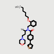 [2H]C(CCN1CCOCC1)N(Cc1ccccc1OCCCCCC(=O)O)C(=O)c1ccc(-c2ccsc2)cc1